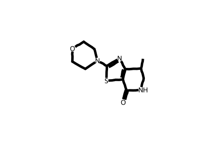 CC1CNC(=O)c2sc(N3CCOCC3)nc21